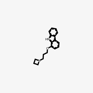 c1ccc2c(c1)[nH]c1c(OCCCN3CCC3)cccc12